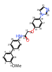 COc1cccc(-c2ccc(NC(=O)COc3ccc(-n4ccnc4)cc3)cc2)c1